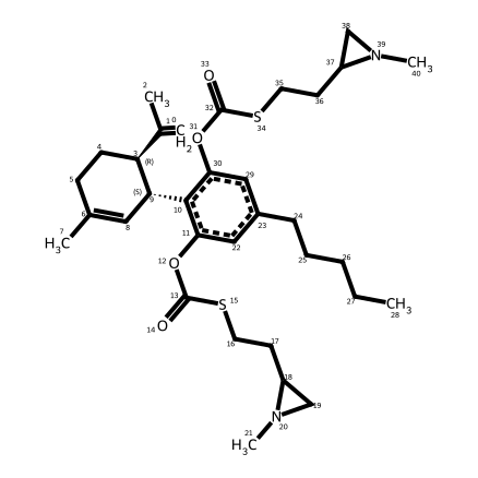 C=C(C)[C@@H]1CCC(C)=C[C@H]1c1c(OC(=O)SCCC2CN2C)cc(CCCCC)cc1OC(=O)SCCC1CN1C